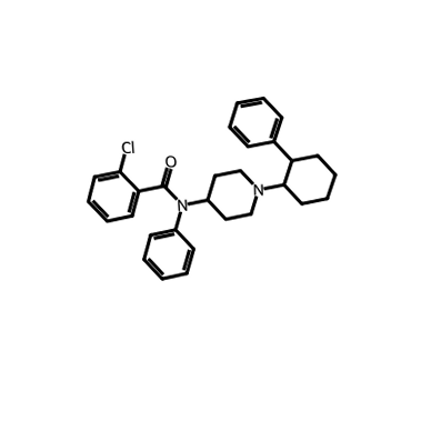 O=C(c1ccccc1Cl)N(c1ccccc1)C1CCN(C2CCCCC2c2ccccc2)CC1